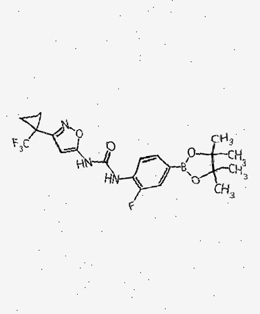 CC1(C)OB(c2ccc(NC(=O)Nc3cc(C4(C(F)(F)F)CC4)no3)c(F)c2)OC1(C)C